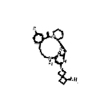 C=C1c2cc(F)ccc2CCCN(CC)c2cc(N3CC4(CCC4N)C3)nc3cc(nn23)C2CCCCN12